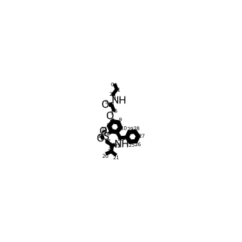 CCCNC(=O)COc1ccc2c(c1)S(=O)(=O)CC(C(C)C)NC2c1ccccc1